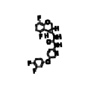 O=C(Nc1ccc(Oc2ccc(F)c(F)c2)cn1)N[C@@H]1[C@H]2COc3c(F)ccc(F)c3[C@@H]21